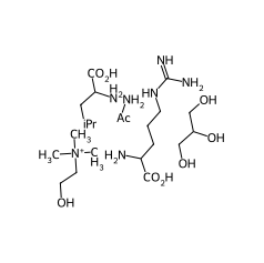 CC(C)CC(N)C(=O)O.CC(N)=O.C[N+](C)(C)CCO.N=C(N)NCCCC(N)C(=O)O.OCC(O)CO